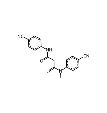 CN(C(=O)CC(=O)Nc1ccc(C#N)cc1)c1ccc(C#N)cc1